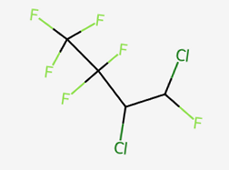 FC(Cl)C(Cl)C(F)(F)C(F)(F)F